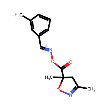 CC1=NOC(C)(C(=O)O/N=C/c2cccc(C)c2)C1